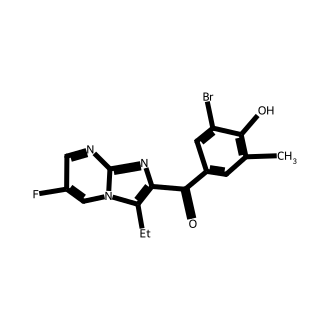 CCc1c(C(=O)c2cc(C)c(O)c(Br)c2)nc2ncc(F)cn12